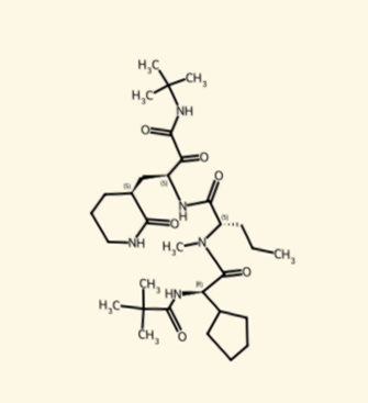 CCC[C@@H](C(=O)N[C@@H](C[C@@H]1CCCNC1=O)C(=O)C(=O)NC(C)(C)C)N(C)C(=O)[C@H](NC(=O)C(C)(C)C)C1CCCC1